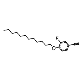 C#Cc1ccc(OCCCCCCCCCCCC)c(F)c1